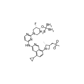 BC(B)(B)O[C@@H]1CCN(c2nccc(Nc3cc4c(C5CC5)ccc(N5C[C@H](CS(C)(=O)=O)[C@H]5C)c4cn3)n2)C[C@@H]1F